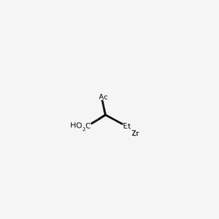 CCC(C(C)=O)C(=O)O.[Zr]